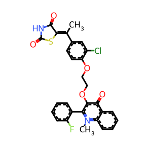 CC(=C1SC(=O)NC1=O)c1ccc(OCCOc2c(-c3ccccc3F)n(C)c3ccccc3c2=O)c(Cl)c1